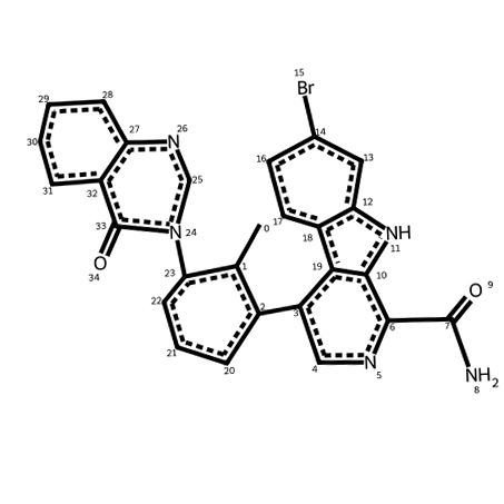 Cc1c(-c2cnc(C(N)=O)c3[nH]c4cc(Br)ccc4c23)cccc1-n1cnc2ccccc2c1=O